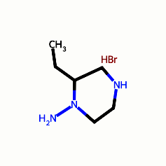 Br.CCC1CNCCN1N